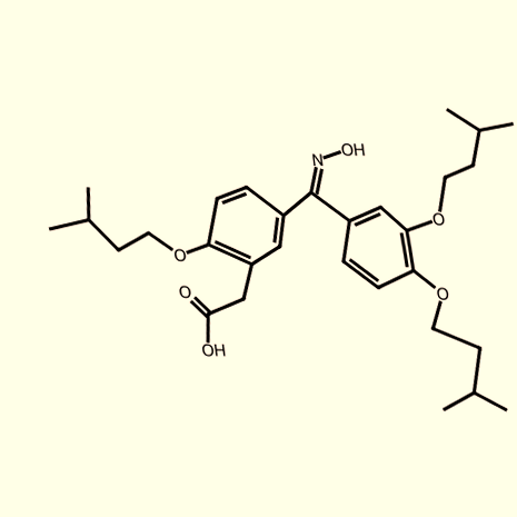 CC(C)CCOc1ccc(C(=NO)c2ccc(OCCC(C)C)c(OCCC(C)C)c2)cc1CC(=O)O